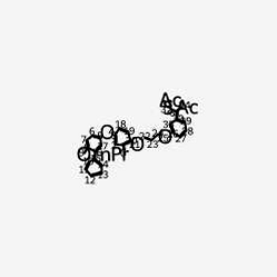 CCCc1cc(Oc2ccc3oc4ccccc4c3c2)ccc1OCCCOc1cccc(C(SC(C)=O)C(C)=O)c1